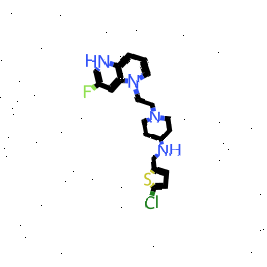 FC1=CNC2=CC=CN(CCN3CCC(NCc4ccc(Cl)s4)CC3)C2=C1